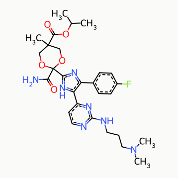 CC(C)OC(=O)C1(C)COC(C(N)=O)(c2nc(-c3ccc(F)cc3)c(-c3ccnc(NCCCN(C)C)n3)[nH]2)OC1